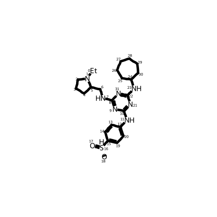 CCN1CCCC1CNc1nc(Nc2ccc([SH](=O)=O)cc2)nc(NC2CCCCCC2)n1